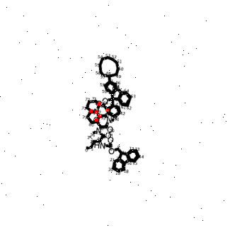 CC[C@H](C)[C@H](NC(=O)OCC1c2ccccc2-c2ccccc21)C(=O)N(C)[C@H](C(=O)N(C)[C@@H](CC(=O)OC(c1ccccc1)(c1ccc(C2CCCCCCCCC2)cc1)c1ccccc1Cl)C(=O)N1CCCCC1)C1CCCCC1